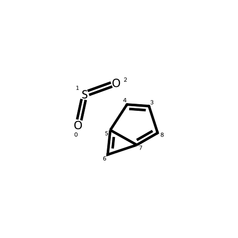 O=S=O.c1cc2cc-2c1